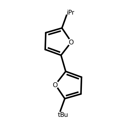 CC(C)c1ccc(-c2ccc(C(C)(C)C)o2)o1